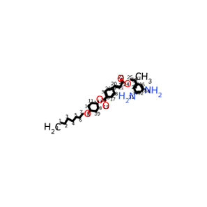 C=CCCCCCCOC1CCC(OC(=O)c2ccc(/C=C/C(=O)OCC(C)c3cc(N)cc(N)c3)cc2)CC1